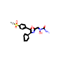 CS(=O)(=O)c1ccc(-c2oc(CN(O)C(N)=O)nc2-c2ccccc2)cc1